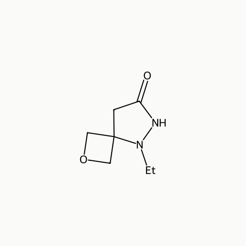 CCN1NC(=O)CC12COC2